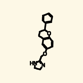 c1ccc(C2CCc3cc(OCC4=NCCN4)ccc3O2)cc1